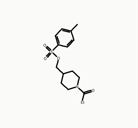 CCC(=O)N1CCC(COS(=O)(=O)c2ccc(C)cc2)CC1